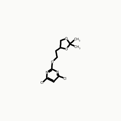 CC1(C)OCC(CCOc2nc(Cl)cc(Cl)n2)O1